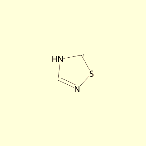 [C]1NC=NS1